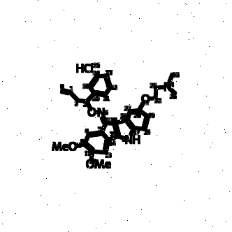 C=CCC(O/N=C1\c2cc(OC)c(OC)cc2-c2[nH]c3ccc(OCCN(C)C)cc3c21)c1ccccc1.Cl